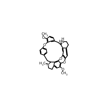 COc1ccc2cc1Oc1ccc(cc1)CC1c3c(cc(OC)c4c3Oc3cc5c(cc3O4)CCN[C@H]5C2)CCN1C